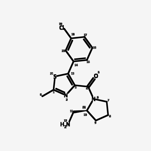 Cc1nc(C(=O)N2CCC[C@H]2CN)c(-c2cccc(Cl)c2)s1